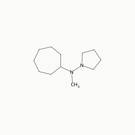 CN(C1CCCCCC1)N1CCCC1